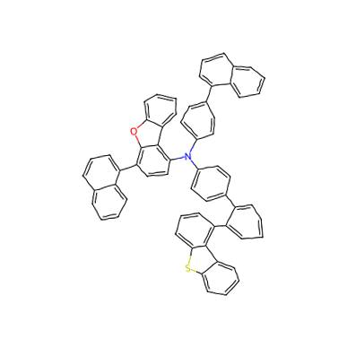 c1ccc(-c2cccc3sc4ccccc4c23)c(-c2ccc(N(c3ccc(-c4cccc5ccccc45)cc3)c3ccc(-c4cccc5ccccc45)c4oc5ccccc5c34)cc2)c1